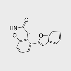 O=C1[CH]c2c(cccc2-c2cc3ccccc3o2)ON1